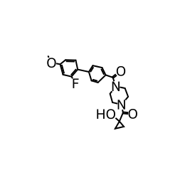 COc1ccc(-c2ccc(C(=O)N3CCN(C(=O)C4(O)CC4)CC3)cc2)c(F)c1